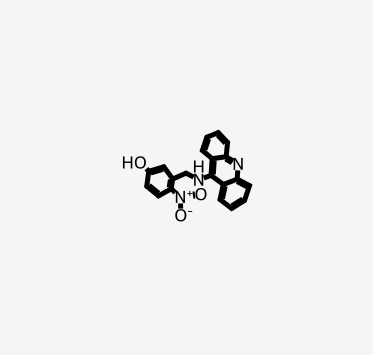 O=[N+]([O-])c1ccc(O)cc1CNc1c2ccccc2nc2ccccc12